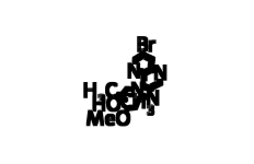 COCCc1nc2cnc3cc(Br)cnc3c2n1CC(C)(C)O